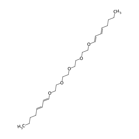 CCCCC=CC=COCCOCCOCCOCCOC=CC=CCCCC